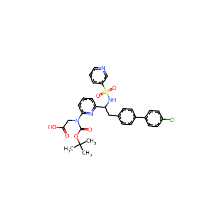 CC(C)(C)OC(=O)N(CC(=O)O)c1cccc(C(Cc2ccc(-c3ccc(Cl)cc3)cc2)NS(=O)(=O)c2cccnc2)n1